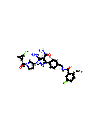 COc1ccc(F)cc1C(=O)NCc1ccc(-c2nn([C@H]3CCN(C(=O)[C@@H]4C[C@H]4F)C3)c(N)c2C(N)=O)cc1